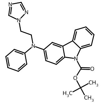 CC(C)(C)OC(=O)n1c2ccccc2c2cc(N(CCn3cncn3)c3ccccc3)ccc21